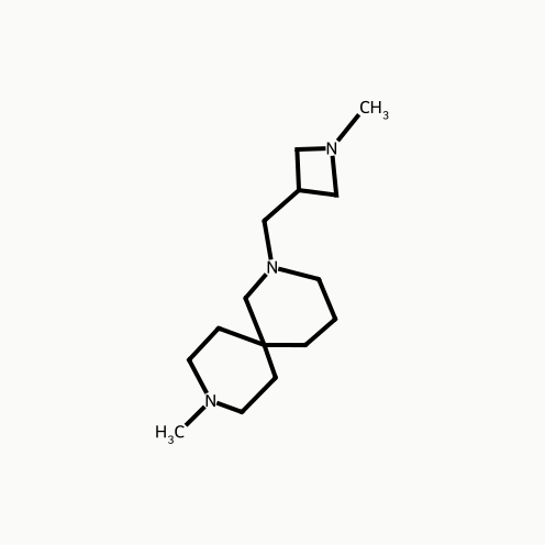 CN1CCC2(CCCN(CC3CN(C)C3)C2)CC1